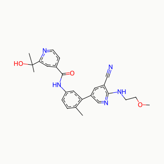 COCCNc1ncc(-c2cc(NC(=O)c3ccnc(C(C)(C)O)c3)ccc2C)cc1C#N